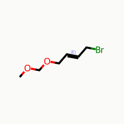 COCOC/C=C/CBr